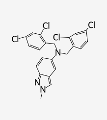 Cn1cc2cc(N(Cc3ccc(Cl)cc3Cl)Cc3ccc(Cl)cc3Cl)ccc2n1